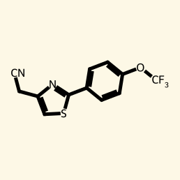 N#CCc1csc(-c2ccc(OC(F)(F)F)cc2)n1